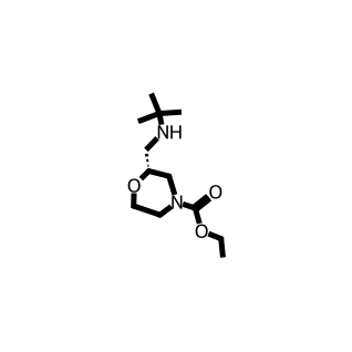 CCOC(=O)N1CCO[C@H](CNC(C)(C)C)C1